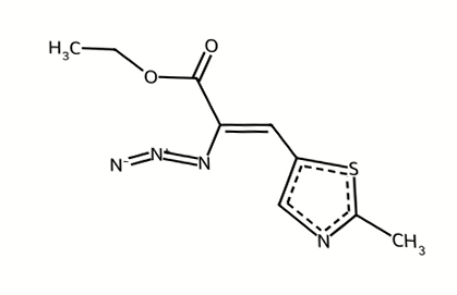 CCOC(=O)/C(=C/c1cnc(C)s1)N=[N+]=[N-]